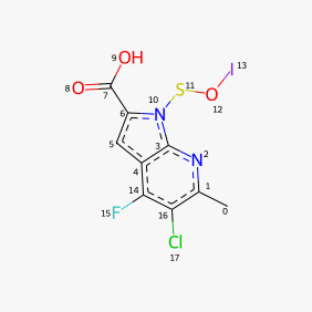 Cc1nc2c(cc(C(=O)O)n2SOI)c(F)c1Cl